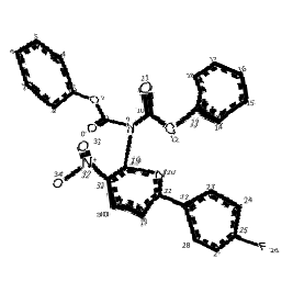 O=C(Oc1ccccc1)N(C(=O)Oc1ccccc1)c1nc(-c2ccc(F)cc2)ccc1[N+](=O)[O-]